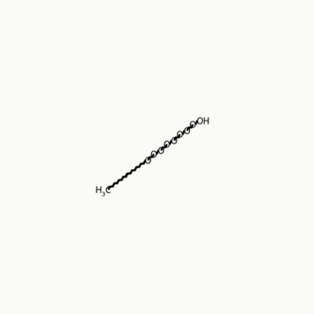 CCCCCCCCC=CCCCCCCCCOCCOCCOCCOCCOCCOCCOCCOCCO